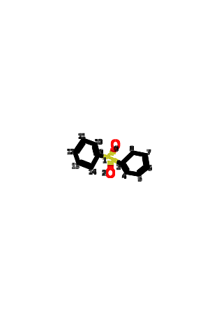 O=S(=O)(C1=CC=C=CC1)c1ccccc1